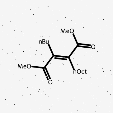 CCCCCCCCC(C(=O)OC)=C(CCCC)C(=O)OC